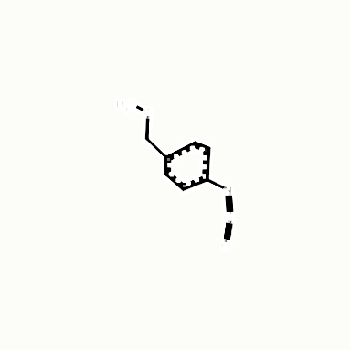 COCc1ccc(N=C=O)cc1